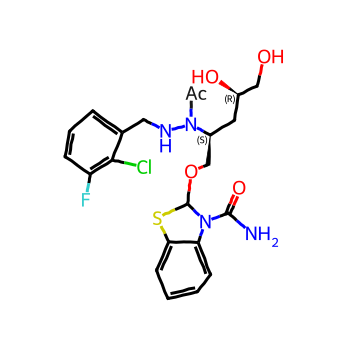 CC(=O)N(NCc1cccc(F)c1Cl)[C@H](COC1Sc2ccccc2N1C(N)=O)C[C@@H](O)CO